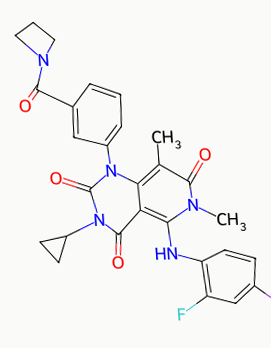 Cc1c(=O)n(C)c(Nc2ccc(I)cc2F)c2c(=O)n(C3CC3)c(=O)n(-c3cccc(C(=O)N4CCC4)c3)c12